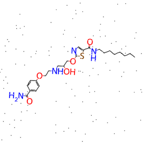 CCCCCCCCNC(=O)c1cnc(OCC(O)CNCCOc2ccc(C(N)=O)cc2)s1